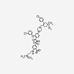 CN(C)CCCNc1ccc(S(=O)(=O)NC(=O)c2ccc(N3CCN(CC4=C(c5ccc(Cl)cc5)CC(C)(C)CC4)CC3)cc2Oc2cccc(Cl)c2)cc1[N+](=O)[O-]